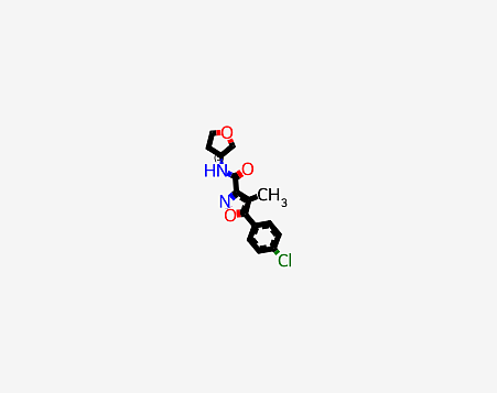 Cc1c(C(=O)N[C@H]2CCOC2)noc1-c1ccc(Cl)cc1